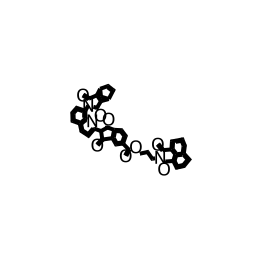 O=C(OCCCN1C(=O)c2cccc3cccc(c23)C1=O)c1ccc2c(c1)C(=O)C(c1ccc3cccc(N4C(=O)C5C6C=CC(C6)C5C4=O)c3n1)C2=O